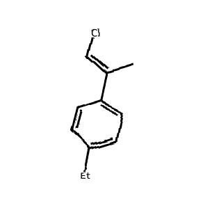 CCc1ccc(C(C)=CCl)cc1